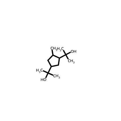 CC1CC(C(C)(C)O)CC1C(C)(C)O